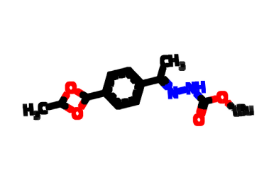 C/C(=N\NC(=O)OC(C)(C)C)c1ccc(C2OC(C)O2)cc1